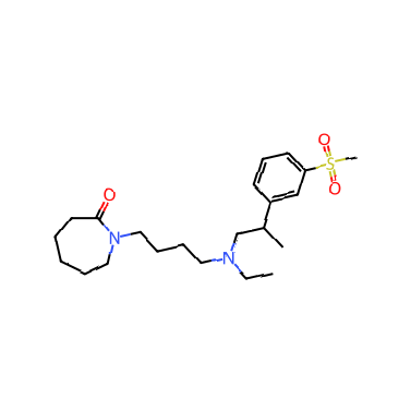 CCN(CCCCN1CCCCCC1=O)CC(C)c1cccc(S(C)(=O)=O)c1